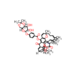 COC(=O)/C(C)=C\CC12OC(C)(C)[C@H]3C[C@@H](C=C4C(=O)c5c(OC(=O)c6ccc(O[C@@H]7O[C@@H]8COC(C)(C)O[C@H]8[C@H](O)[C@H]7O)cc6)c6c(c(CC=C(C)C)c5OC431)OC(C)(CCC=C(C)C)C=C6)C2=O